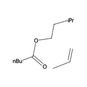 C=CC.CCCCC(=O)OCCC(C)C